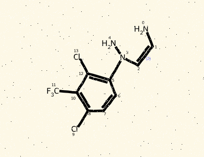 N/C=C\N(N)c1ccc(Cl)c(C(F)(F)F)c1Cl